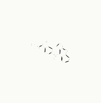 CC(=NO)c1ccc(Nc2c3ccccc3nc3occc23)cc1